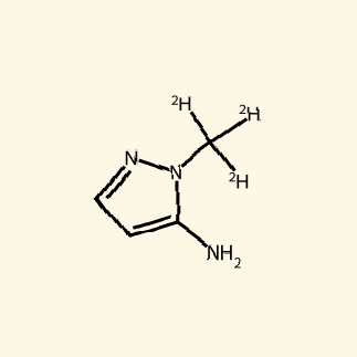 [2H]C([2H])([2H])n1nccc1N